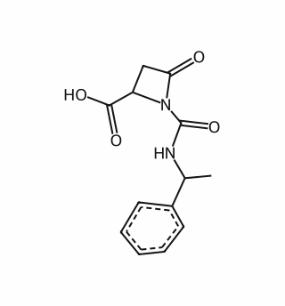 CC(NC(=O)N1C(=O)CC1C(=O)O)c1ccccc1